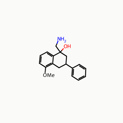 COc1cccc2c1CC(c1ccccc1)CC2(O)CN